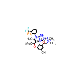 COC(=O)C1=C(C)N(c2cccc(C(F)(F)P)c2)C(=N)N(C(N)=O)[C@@H]1c1ccc(C#N)cc1CC[N+](C)(C)C